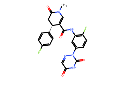 CN1C=C(C(=O)Nc2cc(-n3ncc(=O)[nH]c3=O)ccc2F)[C@H](c2ccc(F)cc2)CC1=O